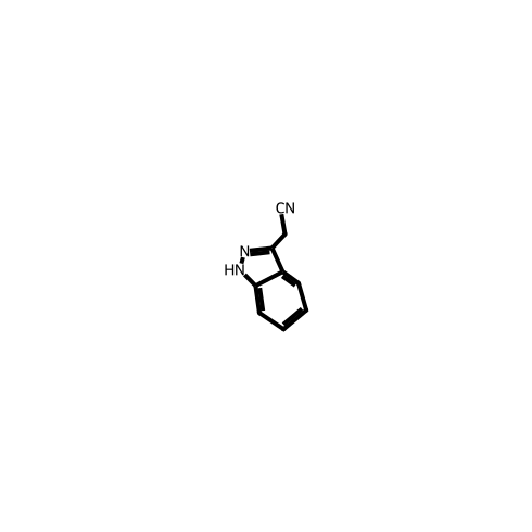 N#CCc1n[nH]c2ccccc12